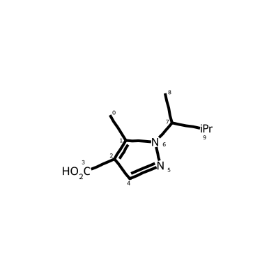 Cc1c(C(=O)O)cnn1C(C)C(C)C